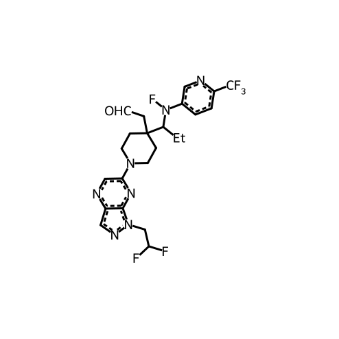 CCC(N(F)c1ccc(C(F)(F)F)nc1)C1(CC=O)CCN(c2cnc3cnn(CC(F)F)c3n2)CC1